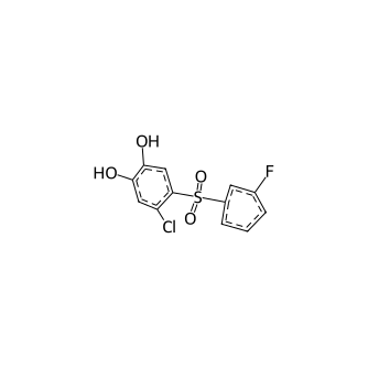 O=S(=O)(c1cccc(F)c1)c1cc(O)c(O)cc1Cl